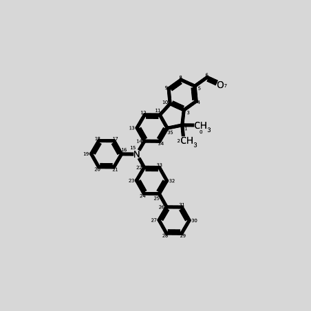 CC1(C)c2cc(C=O)ccc2-c2ccc(N(c3ccccc3)c3ccc(-c4ccccc4)cc3)cc21